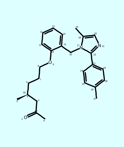 CC(=O)C[C@@H](C)CCCOc1ccccc1Cn1c(C)cnc1-c1ccc(C)cc1